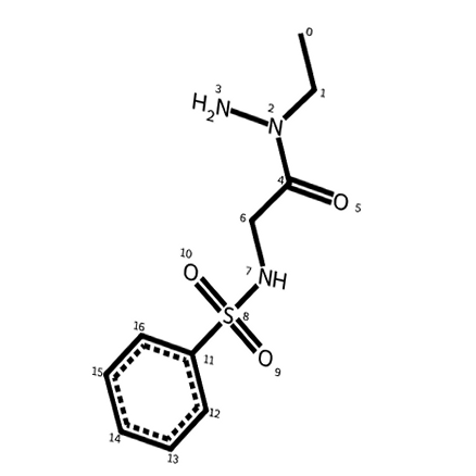 CCN(N)C(=O)CNS(=O)(=O)c1ccccc1